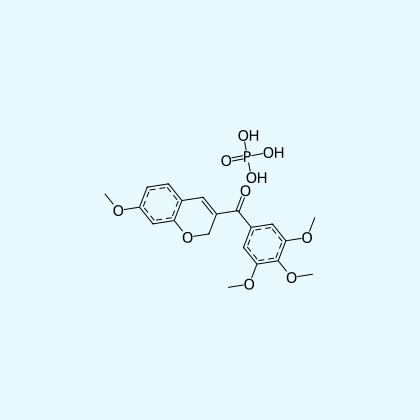 COc1ccc2c(c1)OCC(C(=O)c1cc(OC)c(OC)c(OC)c1)=C2.O=P(O)(O)O